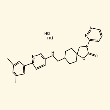 Cc1cc(C)cc(-c2ccc(NCC3CCC4(CC3)CN(c3cccnn3)C(=O)O4)nn2)c1.Cl.Cl